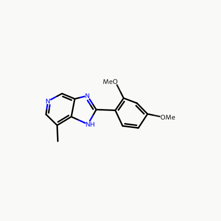 COc1ccc(-c2nc3cncc(C)c3[nH]2)c(OC)c1